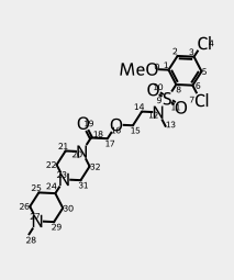 COc1cc(Cl)cc(Cl)c1S(=O)(=O)N(C)CCOCC(=O)N1CCN(C2CCN(C)CC2)CC1